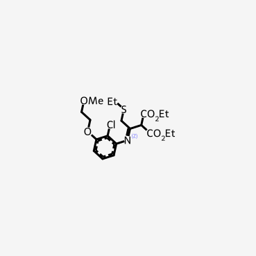 CCOC(=O)C(C(=O)OCC)/C(CSCC)=N/c1cccc(OCCOC)c1Cl